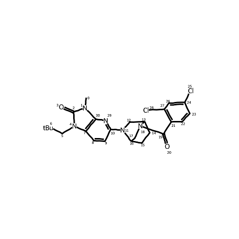 Cn1c(=O)n(CC(C)(C)C)c2ccc(N3CC4CCC3CN4C(=O)c3ccc(Cl)cc3Cl)nc21